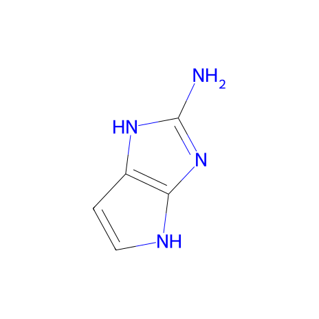 Nc1nc2[nH]ccc2[nH]1